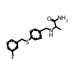 CC(NCc1ccc(SCc2cccc(F)c2)cc1)C(N)=O